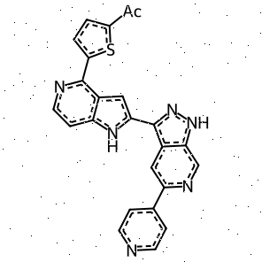 CC(=O)c1ccc(-c2nccc3[nH]c(-c4n[nH]c5cnc(-c6ccncc6)cc45)cc23)s1